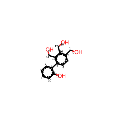 OCc1ccc(-c2ccccc2O)c(CO)c1CO